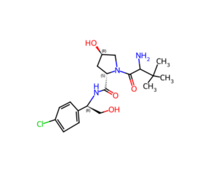 CC(C)(C)C(N)C(=O)N1C[C@H](O)C[C@H]1C(=O)N[C@@H](CO)c1ccc(Cl)cc1